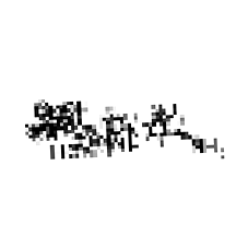 NCC#Cc1ccc(CNc2ccnc3c2ncn3[C@H]2C[C@@H](O)[C@@H](COP(=O)(O)OP(=O)(O)OP(=O)(O)O)O2)c([N+](=O)[O-])c1